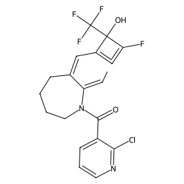 C/C=C1\C(=C/C2=C=C(F)C2(O)C(F)(F)F)CCCCN1C(=O)c1cccnc1Cl